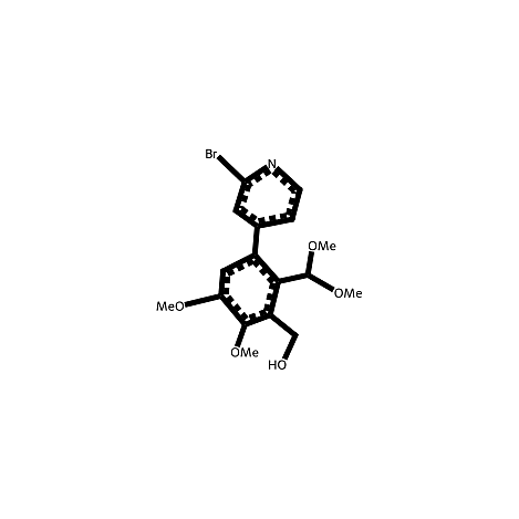 COc1cc(-c2ccnc(Br)c2)c(C(OC)OC)c(CO)c1OC